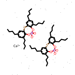 CCCCc1cc(CCCC)c2c(c1)Sc1cc(CCCC)cc(CCCC)c1OP(=O)([O-])O2.CCCCc1cc(CCCC)c2c(c1)Sc1cc(CCCC)cc(CCCC)c1OP(=O)([O-])O2.[Ca+2]